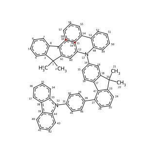 CC1(C)c2ccccc2-c2ccc(N(c3ccc4c(c3)C(C)(C)c3cccc(-c5ccc(-n6c7ccccc7c7ccccc76)cc5)c3-4)c3ccccc3-c3ccccc3)cc21